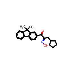 CC1(C)c2ccccc2-c2ccc(C(=O)C(CC3CCCC3)=NO)cc21